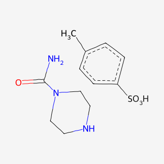 Cc1ccc(S(=O)(=O)O)cc1.NC(=O)N1CCNCC1